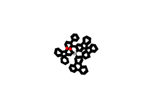 c1ccc(-c2ccccc2-c2cc3c(cc2N(c2ccc4c(c2)C2(CCCCC2)c2ccccc2-4)c2ccc4c5ccccc5c5ccccc5c4c2)C2(c4ccccc4-c4ccccc42)c2ccccc2-3)cc1